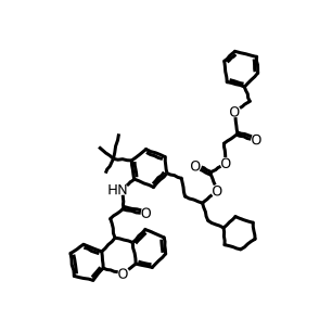 CC(C)(C)c1ccc(CCC(CC2CCCCC2)OC(=O)OCC(=O)OCc2ccccc2)cc1NC(=O)CC1c2ccccc2Oc2ccccc21